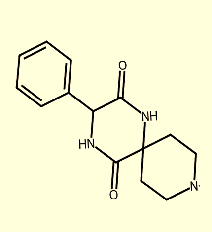 O=C1NC2(CC[N]CC2)C(=O)NC1c1ccccc1